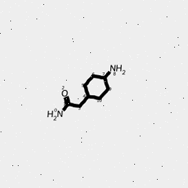 NC(=O)CC1CCC(N)CC1